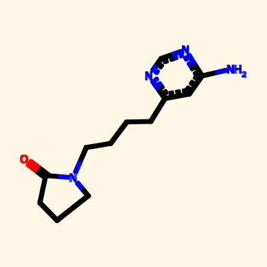 Nc1cc(CCCCN2CCCC2=O)ncn1